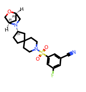 N#Cc1cc(F)cc(S(=O)(=O)N2CCC3(CC[C@H](N4C[C@H]5C[C@@H]4CO5)C3)CC2)c1